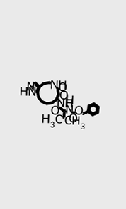 CC(C)C(NC(=O)OCc1ccccc1)C(=O)NC1CCCCc2[nH]ncc2CCNC(=O)C1=O